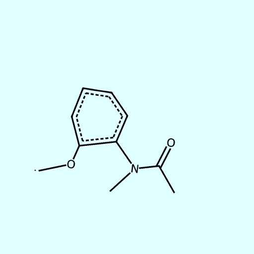 [CH2]Oc1ccccc1N(C)C(C)=O